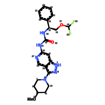 COC1CCN(c2n[nH]c3cc(NC(=O)N[C@H](COC(F)F)c4ccccc4)ncc23)CC1